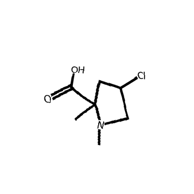 CN1CC(Cl)CC1(C)C(=O)O